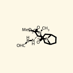 COC(=O)[C@@H](NBC=O)C1CC2CCC(C1)N2C(=O)N(C)C